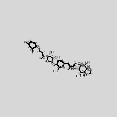 C/C(=C\c1ccc(O[C@@H]2O[C@H](/C(C)=C/COc3ccc(F)cc3F)[C@@H](O)[C@@H]2O)c(O)c1)C(=O)N[C@@H]1[C@H](O)[C@@H](O)[C@H]2OCO[C@H]2[C@@H]1O